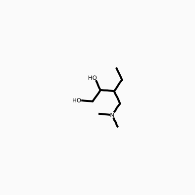 CCC(CN(C)C)C(O)CO